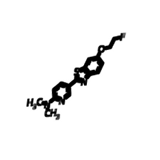 CN(C)c1ccc(-c2nc3ccc(OCCF)cc3s2)cn1